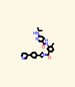 Cc1ccc(C(=O)N2CC(c3ccc(-c4cccnc4)cc3)C2)cc1NC(=O)c1ccc(NC(C)C)nc1